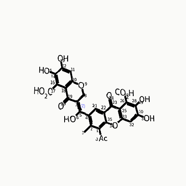 CC(=O)c1c(C)c(/C(O)=C2\COc3cc(O)c(O)c(C(=O)O)c3C2=O)cc2c(=O)c3c(C(=O)O)c(O)c(O)cc3oc12